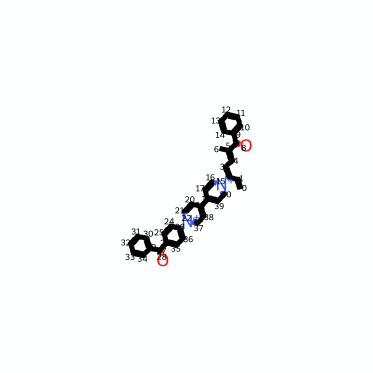 C=C/C(=C\C=C(/C)C(=O)c1ccccc1)[n+]1ccc(-c2cc[n+](-c3ccc(C(=O)c4ccccc4)cc3)cc2)cc1